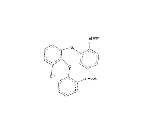 CCCCCCCc1ccccc1Oc1cccc(O)c1Oc1ccccc1CCCCCCC